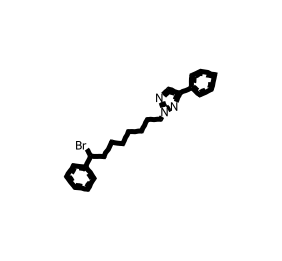 BrC(CCCCCCCn1ncc(-c2ccccc2)n1)c1ccccc1